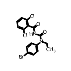 CCN(C(=O)NC(=O)c1c(Cl)cccc1Cl)c1ccc(Br)cc1